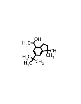 CC(O)c1cc(C(C)(C)C)cc2c1CCC2(C)C